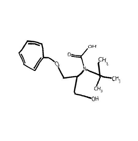 CC(C)(C)N(C(=O)O)C(CO)COc1ccccc1